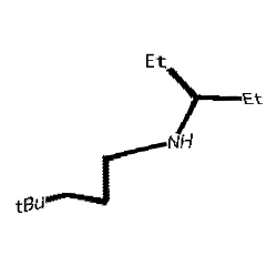 CCC(CC)NCCC(C)(C)C